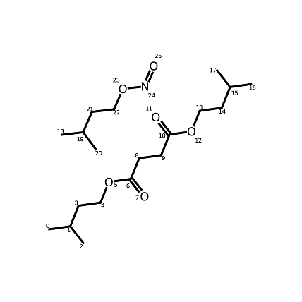 CC(C)CCOC(=O)CCC(=O)OCCC(C)C.CC(C)CCON=O